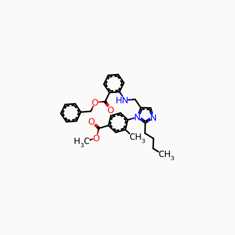 CCCCc1ncc(CNc2ccccc2C(=O)OCc2ccccc2)n1-c1ccc(C(=O)OC)cc1C